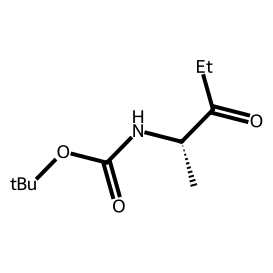 CCC(=O)[C@H](C)NC(=O)OC(C)(C)C